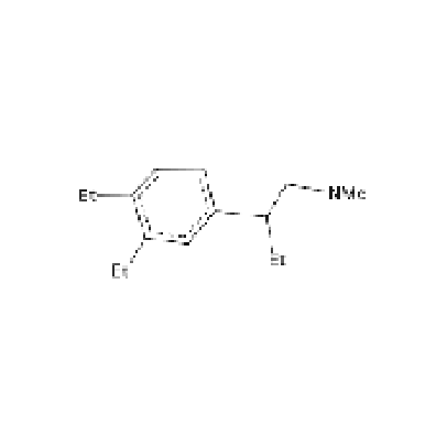 CCc1ccc(C(CC)CNC)cc1CC